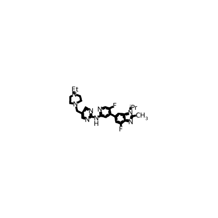 CCN1CCN(Cc2cnc(Nc3cc(-c4cc(F)c5nc(C)n(C(C)C)c5c4)c(F)cn3)nc2)CC1